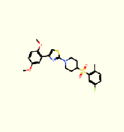 COc1ccc(OC)c(-c2csc(N3CCC(S(=O)(=O)c4cc(F)ccc4C)CC3)n2)c1